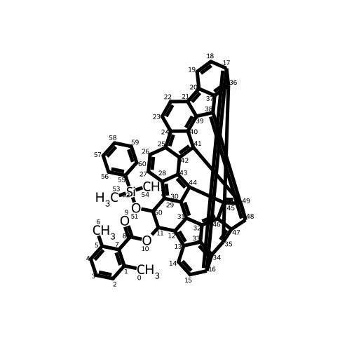 Cc1cccc(C)c1C(=O)OC1c2c3ccc4c5ccc6c7ccc8c9ccc%10c(c%11c2c2c3c4c3c5c6c4c7c8c5c9c%10c%11c6c2c3c4c56)C1O[Si](C)(C)c1ccccc1